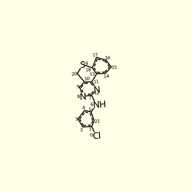 Clc1cccc(Nc2ncc3c(n2)-c2ccccc2SC3)c1